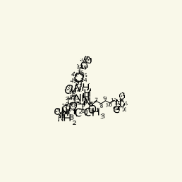 CC(C)[C@H](NC(=O)CCCCCN1C(=O)C=CC1=O)C(=O)N[C@@H](CCCNC(N)=O)C(=O)Nc1ccc(CO[C]=O)cc1